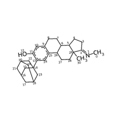 C/N=C1\CCC2C3CCc4cc(O)c(C56CC7CC(CC(C7)C5)C6)cc4C3CCC12C